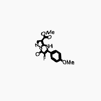 COC(=O)c1cnn2c(=O)c(F)c(-c3ccc(OC)cc3)[nH]c12